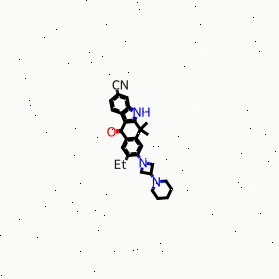 CCc1cc2c(cc1N1CC(N3CCCCC3)C1)C(C)(C)c1[nH]c3cc(C#N)ccc3c1C2=O